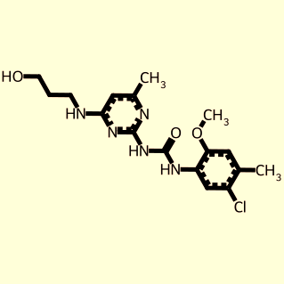 COc1cc(C)c(Cl)cc1NC(=O)Nc1nc(C)cc(NCCCO)n1